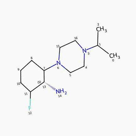 CC(C)N1CCN(C2CCCC(F)[C@H]2N)CC1